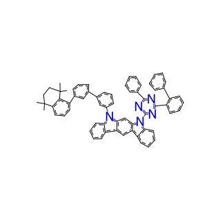 CC1(C)CCC(C)(C)c2c(-c3cccc(-c4cccc(-n5c6ccccc6c6cc7c8ccccc8n(-c8nc(-c9ccccc9)nc(-c9ccccc9-c9ccccc9)n8)c7cc65)c4)c3)cccc21